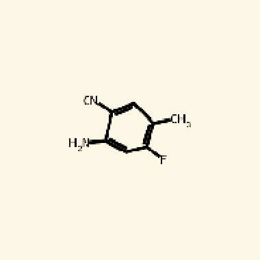 [C-]#[N+]c1cc(C)c(F)cc1N